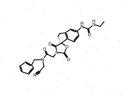 CCNC(=O)Nc1ccc2c(c1)CC[C@@]21OC(=O)N(CC(=O)N(CC#N)Cc2ccccc2)C1=O